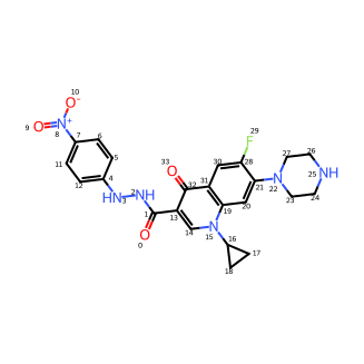 O=C(NNc1ccc([N+](=O)[O-])cc1)c1cn(C2CC2)c2cc(N3CCNCC3)c(F)cc2c1=O